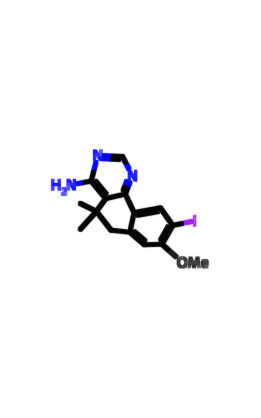 COc1cc2c(cc1I)-c1ncnc(N)c1C(C)(C)C2